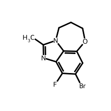 Cc1nc2c(F)c(Br)cc3c2n1CCCO3